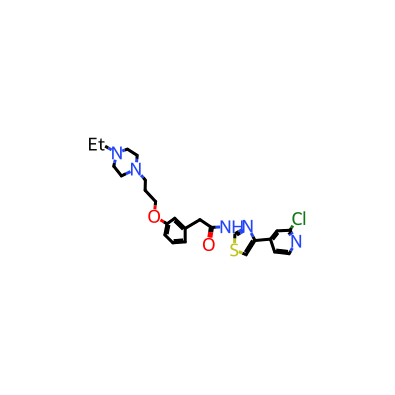 CCN1CCN(CCCOc2cccc(CC(=O)Nc3nc(-c4ccnc(Cl)c4)cs3)c2)CC1